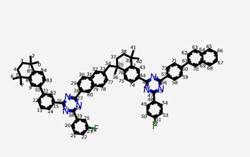 CC1(C)CCC(C)(C)c2cc(-c3cccc(-c4nc(-c5cccc(F)c5)nc(-c5ccc6cc(CC7(C)CCC(C)(C)c8cc(-c9nc(-c%10ccc(F)cc%10)nc(-c%10ccc(-c%11ccc%12ccccc%12c%11)cc%10)n9)ccc87)ccc6c5)n4)c3)ccc21